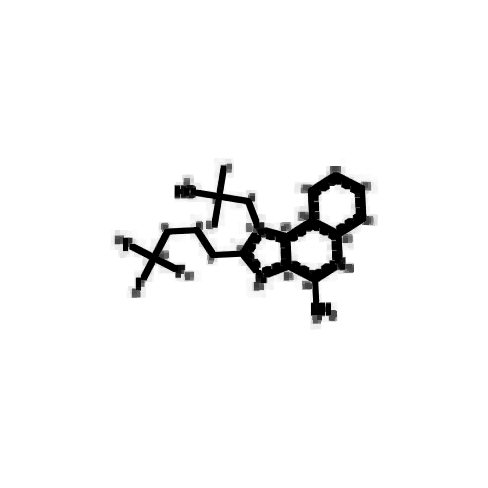 CC(C)(O)Cn1c(CCCC(F)(F)F)nc2c(N)nc3ccccc3c21